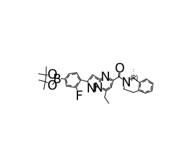 CCc1cc(C(=O)N2CCc3ccccc3[C@H]2C)nc2cc(-c3ccc(B4OC(C)(C)C(C)(C)O4)cc3F)nn12